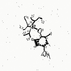 Cc1cc(O)ccc1O[Si](C(C)C)(C(C)C)C(C)C